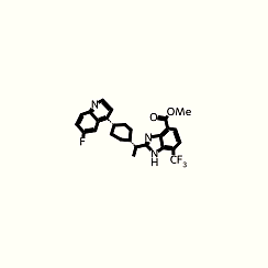 COC(=O)c1ccc(C(F)(F)F)c2[nH]c(C(C)[C@H]3CC[C@@H](c4ccnc5ccc(F)cc54)CC3)nc12